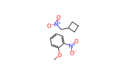 COc1ccccc1[N+](=O)[O-].O=[N+]([O-])CC1CCC1